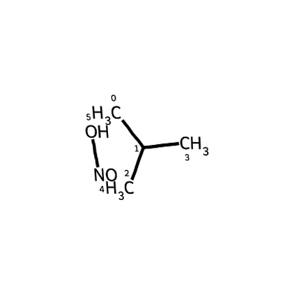 CC(C)C.O=NO